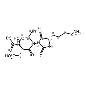 CCC(=O)N[C@@H](CC(=O)O)C(=O)N([C@H](C(=O)O)C(C)C)N1C(=O)N[C@@H](CCCCN)C1=O